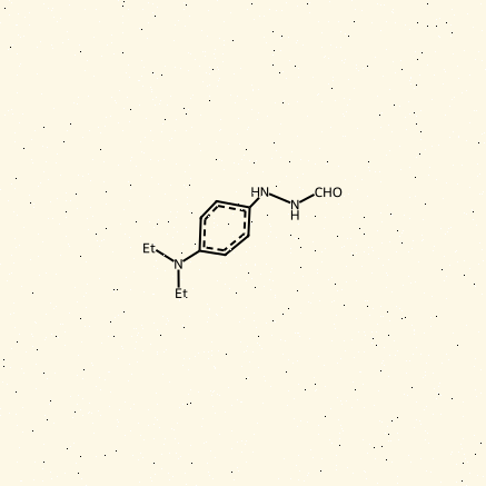 CCN(CC)c1ccc(NNC=O)cc1